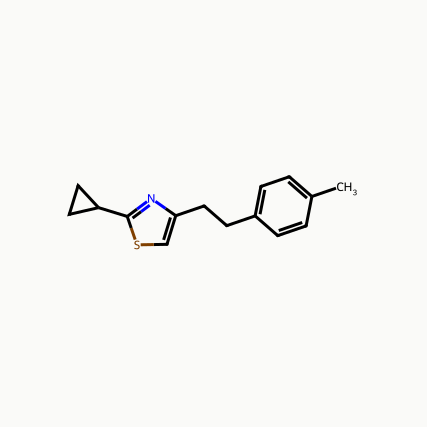 Cc1ccc(CCc2csc(C3CC3)n2)cc1